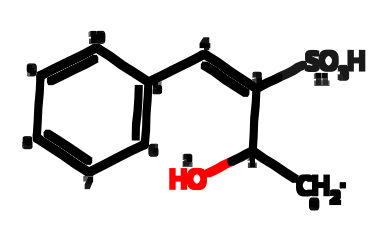 [CH2]C(O)C(=Cc1ccccc1)S(=O)(=O)O